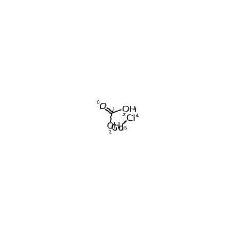 O=C(O)O.[Cl][Gd]